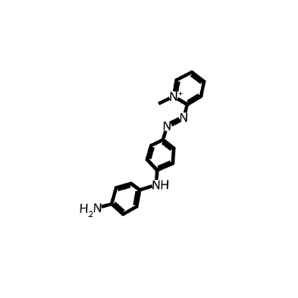 C[n+]1ccccc1/N=N/c1ccc(Nc2ccc(N)cc2)cc1